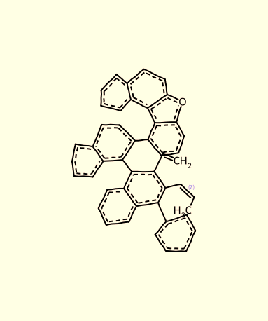 C=Cc1c(/C=C\C)c(-c2ccccc2)c2ccccc2c1-c1c(-c2cccc3oc4ccc5ccccc5c4c23)ccc2ccccc12